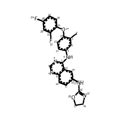 Cc1cc(Nc2ncnc3ccc(NC4=NCCO4)cc23)ccc1Oc1ccc(F)cc1F